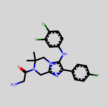 CC1(C)Cn2c(nc(-c3ccc(F)cc3)c2Nc2ccc(Cl)c(F)c2)CN1C(=O)CN